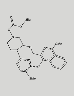 COc1cc(COC2CN(OC(=O)OC(C)(C)C)CCC2c2ccc(SC)nc2)c(OC)c2ccccc12